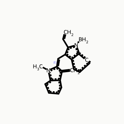 Bn1c(C=C)c(/C=c2\c(=C)c3ccccc3n2C)c2ccccc21